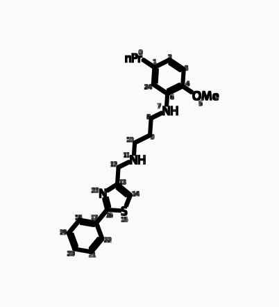 CCCc1ccc(OC)c(NCCCNCc2csc(-c3ccccc3)n2)c1